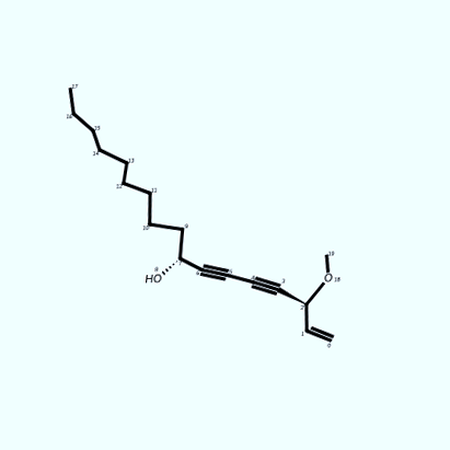 C=C[C@@H](C#CC#C[C@H](O)CCCCCCCCC)OC